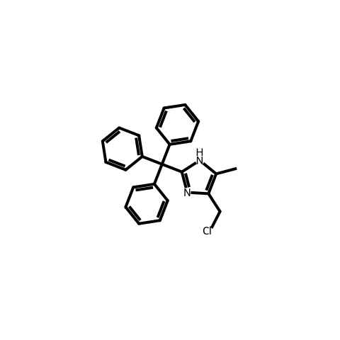 Cc1[nH]c(C(c2ccccc2)(c2ccccc2)c2ccccc2)nc1CCl